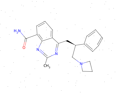 Cc1nc(C[C@H](CN2CCC2)c2ccccc2)c2cccc(C(N)=O)c2n1